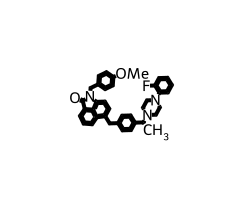 COc1ccc(CN2C(=O)c3cccc4c(Cc5ccc(C(C)N6CCN(c7ccccc7F)CC6)cc5)ccc2c34)cc1